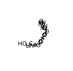 Cc1nc(-c2ncc(Oc3ccc(C(C)(C)c4ccc(O[C@H]5C[C@@H](NC(=O)O)C5)cc4)cc3)cn2)no1